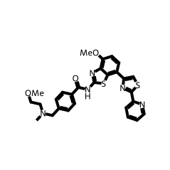 COCCN(C)Cc1ccc(C(=O)Nc2nc3c(OC)ccc(-c4csc(-c5ccccn5)n4)c3s2)cc1